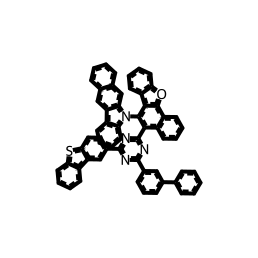 c1ccc(-c2cccc(-c3nc(-c4ccc5sc6ccccc6c5c4)nc(-c4c(-n5c6ccccc6c6cc7ccccc7cc65)c5c6ccccc6oc5c5ccccc45)n3)c2)cc1